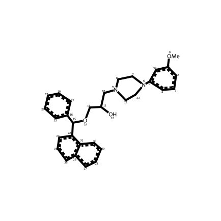 COc1cccc(N2CCN(CC(O)COC(c3ccccc3)c3cccc4ccccc34)CC2)c1